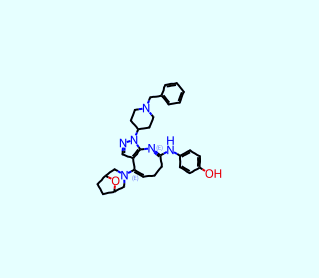 Oc1ccc(N/C2=N/c3c(cnn3C3CCN(Cc4ccccc4)CC3)/C(N3CC4CCC(C3)O4)=C\CC2)cc1